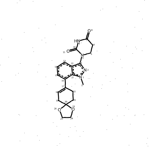 Cn1nc(N2CCC(=O)NC2=O)c2cccc(C3=CCC4(CC3)OCCO4)c21